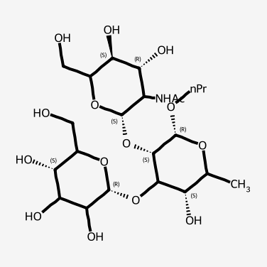 CCCO[C@@H]1OC(C)[C@H](O)C(O[C@H]2OC(CO)[C@@H](O)C(O)C2O)[C@@H]1O[C@@H]1OC(CO)[C@@H](O)[C@H](O)C1NC(C)=O